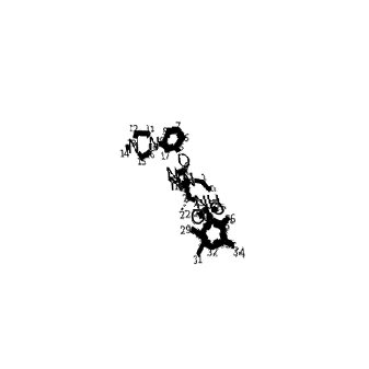 CCn1c(Oc2cccc(N3CCN(C)CC3)c2)nnc1[C@@H](C)NS(=O)(=O)c1c(C)c(C)cc(C)c1C